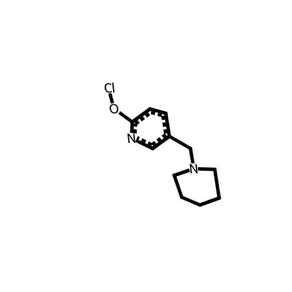 ClOc1ccc(CN2CCCCC2)cn1